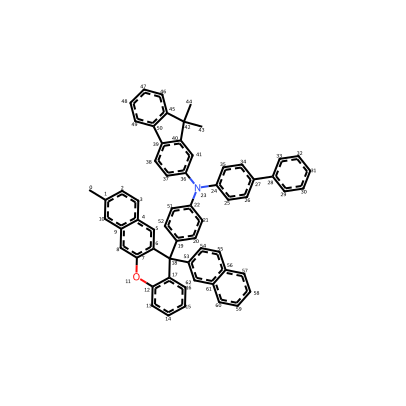 Cc1ccc2cc3c(cc2c1)Oc1ccccc1C3(c1ccc(N(c2ccc(-c3ccccc3)cc2)c2ccc3c(c2)C(C)(C)c2ccccc2-3)cc1)c1ccc2ccccc2c1